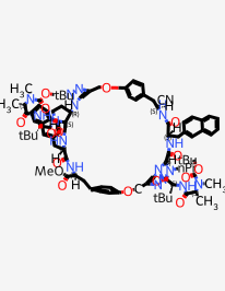 CCCN(C(=O)[C@@H](NC(=O)[C@H](C)N(C)C(=O)OC(C)(C)C)C(C)(C)C)[C@@H]1C(=O)N[C@@H](Cc2ccc3ccccc3c2)C(=O)N[C@H](C#N)Cc2ccc(cc2)OCc2cn(nn2)[C@@H]2CCN(C(=O)[C@@H](NC(=O)[C@H](C)N(C)C(=O)OC(C)(C)C)C(C)(C)C)[C@@H]2C(=O)N[C@@H](Cc2ccc3ccccc3c2)C(=O)N[C@H](C(=O)OC)Cc2ccc(cc2)OCc2cn1nn2